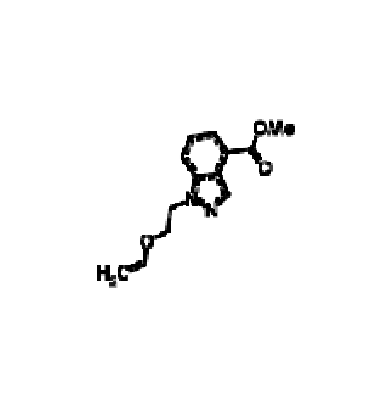 C=COCCn1ncc2c(C(=O)OC)cccc21